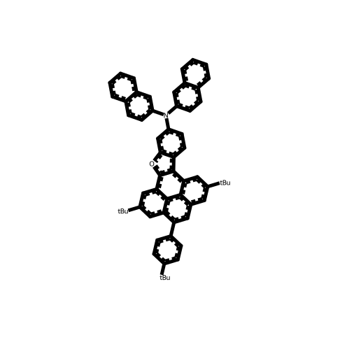 CC(C)(C)c1ccc(-c2cc3cc(C(C)(C)C)cc4c5c6ccc(N(c7ccc8ccccc8c7)c7ccc8ccccc8c7)cc6oc5c5cc(C(C)(C)C)cc2c5c34)cc1